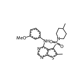 COc1cccc(Nc2ncnc3sc(C)c(S(=O)(=O)N4CCC(C)CC4)c23)c1